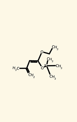 C=C(C)/C=C(/OCC)O[Si](C)(C)C